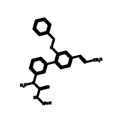 CCCCCNC(=O)N(C)c1cccc(-c2ccc(C=CC(=O)O)cc2OCc2ccccc2)c1